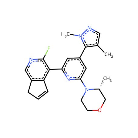 Cc1cnn(C)c1-c1cc(-c2c(F)ncc3c2C=CC3)nc(N2CCOC[C@H]2C)c1